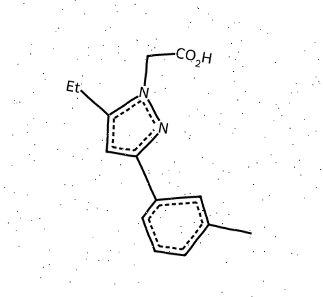 CCc1cc(-c2cccc(C)c2)nn1CC(=O)O